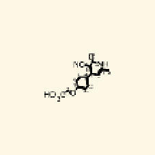 Cc1cc(-c2ccc(OCC(=O)O)cc2)c(C#N)c(=O)[nH]1